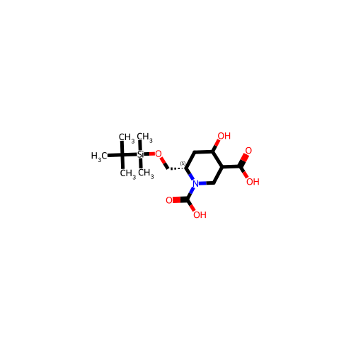 CC(C)(C)[Si](C)(C)OC[C@@H]1CC(O)C(C(=O)O)CN1C(=O)O